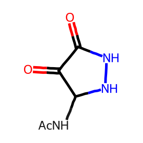 CC(=O)NC1NNC(=O)C1=O